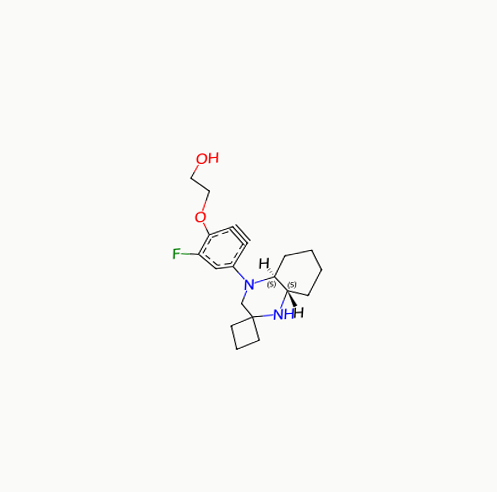 OCCOc1c#cc(N2CC3(CCC3)N[C@H]3CCCC[C@@H]32)cc1F